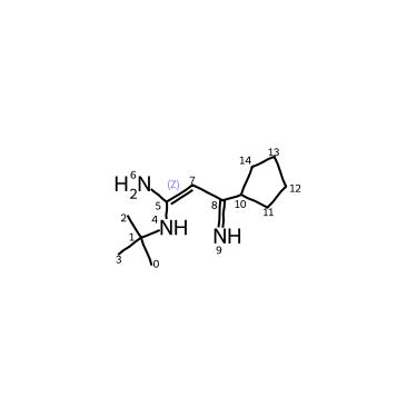 CC(C)(C)N/C(N)=C\C(=N)C1CCCC1